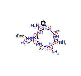 CCCCCCCCCCCC(=O)N[C@H](CN)C(=O)N[C@H]1CCNC(=O)[C@H](CC(C)C)NC(=O)[C@H](CCN)NC(=O)[C@H](CCN)NC(=O)[C@H](CC(C)C)NC(=O)[C@@H](Cc2ccccc2)NC(=O)[C@H](CCN)NC1=O